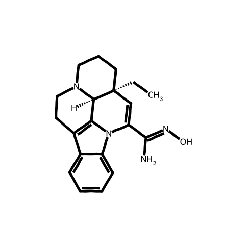 CC[C@@]12C=C(/C(N)=N/O)n3c4c(c5ccccc53)CCN(CCC1)[C@H]42